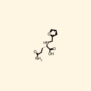 NC(=O)CC[C@H](NCc1ccco1)C(=O)O